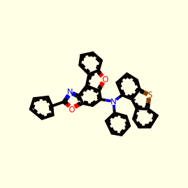 c1ccc(-c2nc3c(cc(N(c4ccccc4)c4cccc5sc6ccccc6c45)c4oc5ccccc5c43)o2)cc1